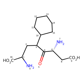 NC(CC(C(=O)[C@H](N)CC(=O)O)C1CCCCC1)C(=O)O